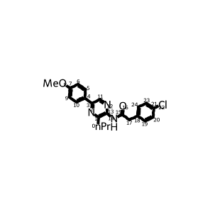 CCCc1nc(-c2ccc(OC)cc2)cnc1NC(=O)Cc1ccc(Cl)cc1